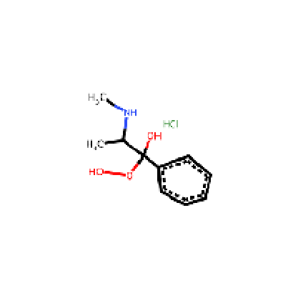 CNC(C)C(O)(OO)c1ccccc1.Cl